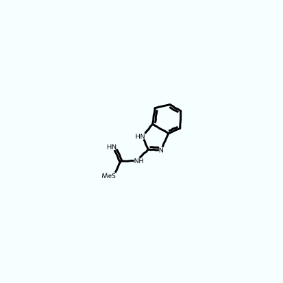 CSC(=N)Nc1nc2ccccc2[nH]1